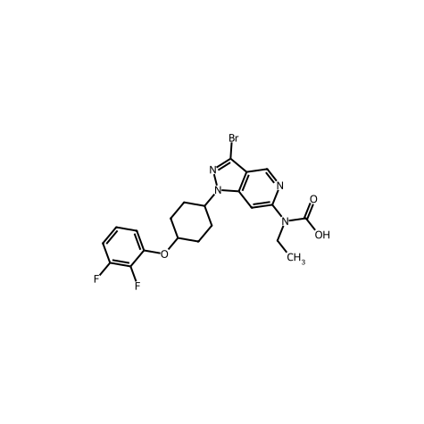 CCN(C(=O)O)c1cc2c(cn1)c(Br)nn2C1CCC(Oc2cccc(F)c2F)CC1